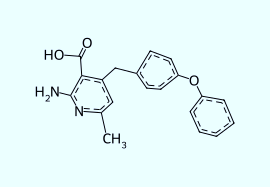 Cc1cc(Cc2ccc(Oc3ccccc3)cc2)c(C(=O)O)c(N)n1